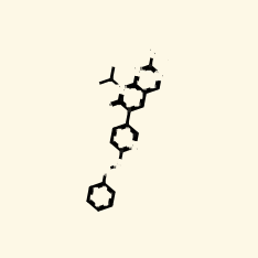 CC(C)n1c(=O)c(-c2ccc(NSc3ccccc3)nc2)cc2cnc(N)nc21